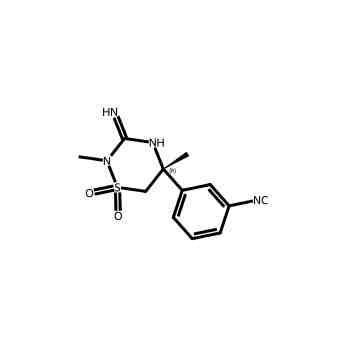 [C-]#[N+]c1cccc([C@]2(C)CS(=O)(=O)N(C)C(=N)N2)c1